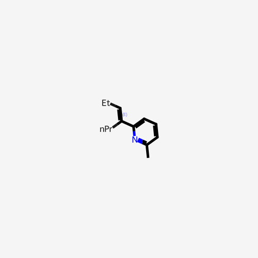 CC/C=C(\CCC)c1cccc(C)n1